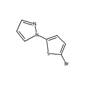 Brc1ccc(-n2cccn2)s1